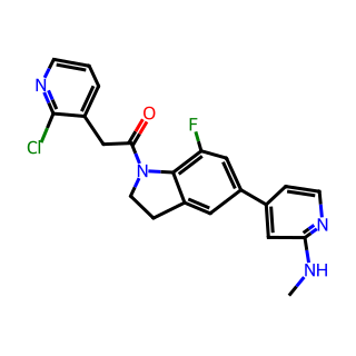 CNc1cc(-c2cc(F)c3c(c2)CCN3C(=O)Cc2cccnc2Cl)ccn1